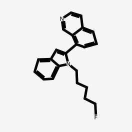 FCCCCCn1c(-c2cccc3ccncc23)cc2ccccc21